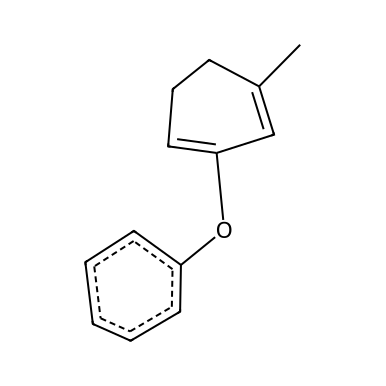 CC1=CC(Oc2ccccc2)=CCC1